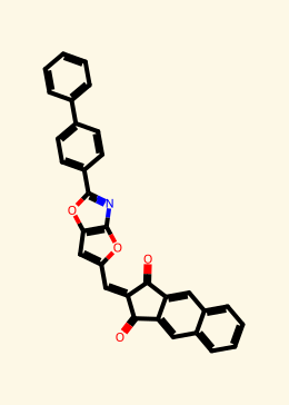 O=C1C(=Cc2cc3oc(-c4ccc(-c5ccccc5)cc4)nc3o2)C(=O)c2cc3ccccc3cc21